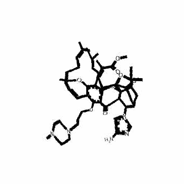 COC(=O)/C(C)=C\CC12OC(C)(C)C3CC(C1=O)C(n1cnc(N)c1)C1C(=O)c4c(OCCN5CCN(C)CC5)c5c(c(CC=C(C)C)c4OC132)OC(C)(CCC=C(C)C)C=C5